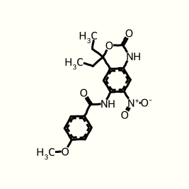 CCC1(CC)OC(=O)Nc2cc([N+](=O)[O-])c(NC(=O)c3ccc(OC)cc3)cc21